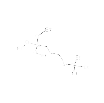 CCO[Si](CCCS[Si](CC)(CC)CC)(OCC)OCC